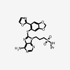 CC(C)NS(=O)(=O)CCCn1c(Sc2cc3c(cc2-c2ncco2)OCO3)nc2c(N)ncnc21